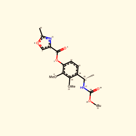 COc1c(OC(=O)c2coc(C)n2)ccc([C@H](C)NC(=O)OC(C)(C)C)c1OC